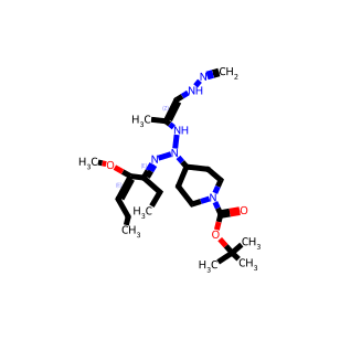 C=NN/C=C(/C)NN(/N=C(CC)/C(=C\CC)OC)C1CCN(C(=O)OC(C)(C)C)CC1